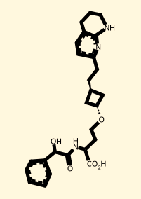 O=C(O)C(CCO[C@H]1C[C@H](CCc2ccc3c(n2)NCCC3)C1)NC(=O)C(O)c1ccccc1